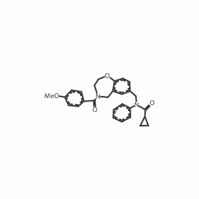 COc1ccc(C(=O)N2CCOc3ccc(CN(C(=O)C4CC4)c4ccccc4)cc3C2)cc1